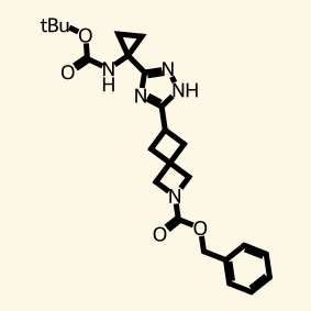 CC(C)(C)OC(=O)NC1(c2n[nH]c(C3CC4(C3)CN(C(=O)OCc3ccccc3)C4)n2)CC1